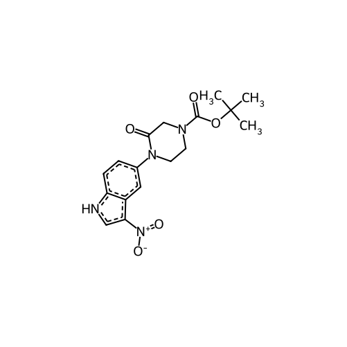 CC(C)(C)OC(=O)N1CCN(c2ccc3[nH]cc([N+](=O)[O-])c3c2)C(=O)C1